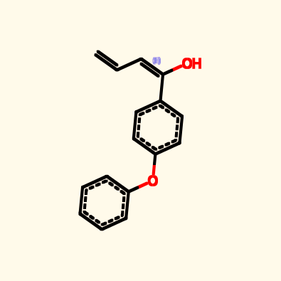 C=C/C=C(/O)c1ccc(Oc2ccccc2)cc1